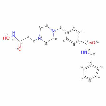 O=C(CCN1CCN(Cc2ccc(C(=O)NCc3ccccc3)cc2)CC1)NO